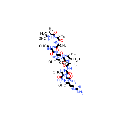 C[C@H](NC(=O)[C@@H](NC(=O)[C@@H](NC(=O)C(NCC=O)NC(=O)[C@H](C)NC(=O)[C@H](C)NC(=O)[C@@H](C)N[C@@H](C)C=O)N[C@@H](C=O)CC(=O)O)N[C@@H](C=O)CC(=O)O)C(=O)N[C@@H](N[C@@H](C=O)CC(N)=O)C(=O)N[C@@H](N[C@@H](C=O)CCCNC(=N)N)C(N)=O